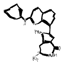 C[C@@H]1Cc2[nH]c(-c3cccc4ccc(Nc5ccccc5)nc34)cc2C(=O)N1